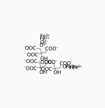 O=C([O-])CC(O)(CC(=O)[O-])C(=O)[O-].O=C([O-])CC(O)(CC(=O)[O-])C(=O)[O-].O=C([O-])CC(O)(CC(=O)[O-])C(=O)[O-].[Fe+3].[Fe+3].[Fe+3].[Fe+3].[Fe+3].[O-2].[O-2].[O-2]